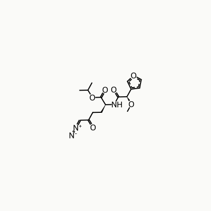 CO[C@@H](C(=O)N[C@@H](CCC(=O)C=[N+]=[N-])C(=O)OC(C)C)c1ccoc1